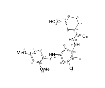 COc1ccc(CNc2nc(Cl)c(C)c(NNC(=O)[C@H]3CCCN(C(=O)O)C3)n2)c(OC)c1